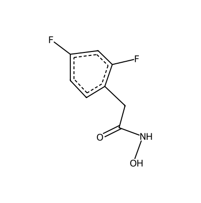 O=C(Cc1ccc(F)cc1F)NO